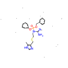 CN=C(N)N(CCSCc1nc[nH]c1C)P(=O)(OCc1ccccc1)Oc1ccccc1